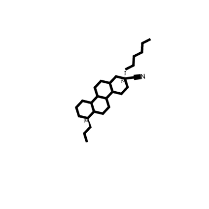 CCCCCC[C@]1(C#N)CCC2C(CCC3C2CCC2C3CCC[C@@H]2CCC)C1